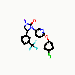 O=C1N(I)CC(c2cccc(C(F)(F)F)c2)N1c1ccc(Oc2ccc(Cl)cc2)nc1